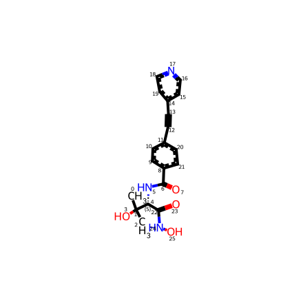 CC(C)(O)[C@H](NC(=O)c1ccc(C#Cc2ccncc2)cc1)C(=O)NO